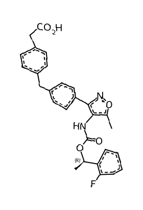 Cc1onc(-c2ccc(Cc3ccc(CC(=O)O)cc3)cc2)c1NC(=O)O[C@H](C)c1ccccc1F